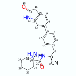 N#C[C@H](Cc1ccc(-c2ccc3c(c2)NC(=O)C3)cc1)NC(=O)C1(N)CCCCC1